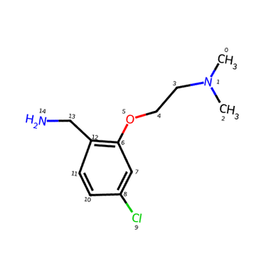 CN(C)CCOc1cc(Cl)ccc1CN